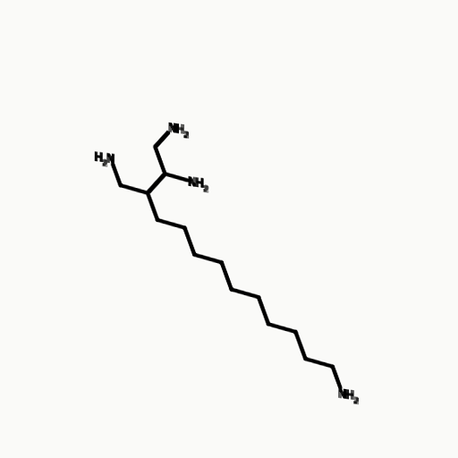 NCCCCCCCCCCC(CN)C(N)CN